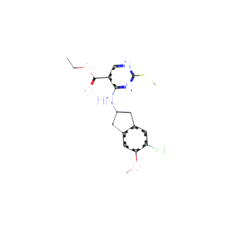 CCOC(=O)c1cnc(SC)nc1NC1Cc2cc(Cl)c(OC)cc2C1